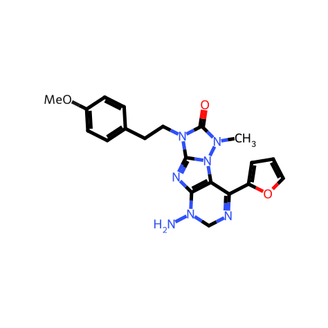 COc1ccc(CCn2c(=O)n(C)n3c4c(nc23)N(N)CN=C4c2ccco2)cc1